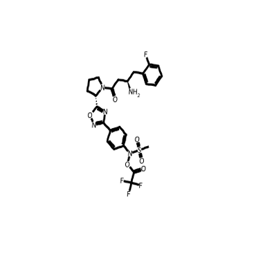 CS(=O)(=O)N(OC(=O)C(F)(F)F)c1ccc(-c2noc([C@@H]3CCCN3C(=O)C[C@H](N)Cc3ccccc3F)n2)cc1